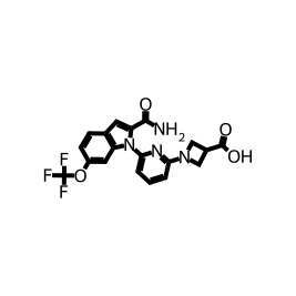 NC(=O)c1cc2ccc(OC(F)(F)F)cc2n1-c1cccc(N2CC(C(=O)O)C2)n1